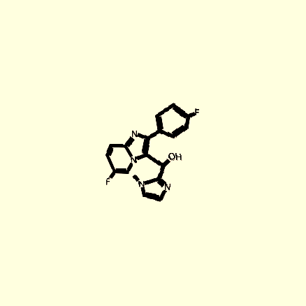 Cn1ccnc1C(O)c1c(-c2ccc(F)cc2)nc2ccc(F)cn12